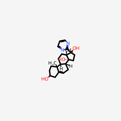 C[C@]12CCC(O)CC1=CC[C@@H]1[C@H]2CC[C@]2(C)C(O)(c3ncccn3)CC[C@@]12O